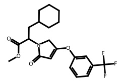 COC(=O)C(CC1CCCCC1)N1CC(Oc2cccc(C(F)(F)F)c2)=CC1=O